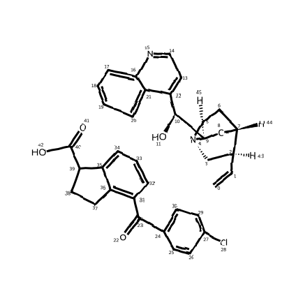 C=C[C@H]1C[N@]2CC[C@H]1C[C@@H]2[C@@H](O)c1ccnc2ccccc12.O=C(c1ccc(Cl)cc1)c1cccc2c1CCC2C(=O)O